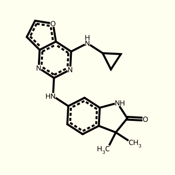 CC1(C)C(=O)Nc2cc(Nc3nc(NC4CC4)c4occc4n3)ccc21